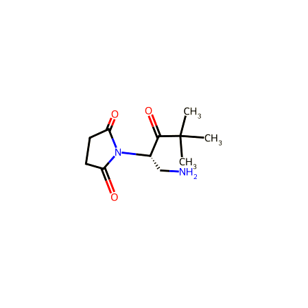 CC(C)(C)C(=O)[C@H](CN)N1C(=O)CCC1=O